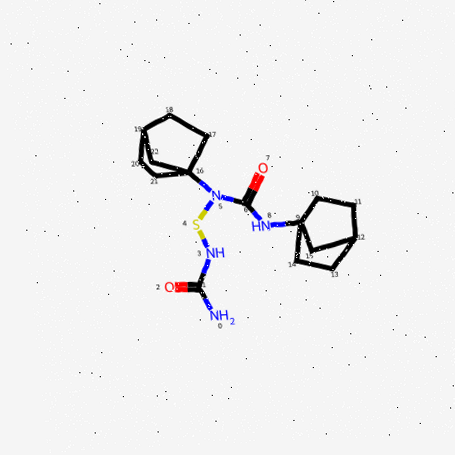 NC(=O)NSN(C(=O)NC12CCC(CC1)C2)C12CCC(CC1)C2